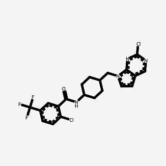 O=C(NC1CCC(Cn2ccc3cnc(Cl)nc32)CC1)c1cc(C(F)(F)F)ccc1Cl